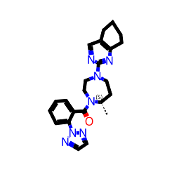 C[C@H]1CCN(c2ncc3c(n2)CCCC3)CCN1C(=O)c1ccccc1-n1nccn1